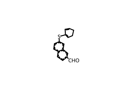 O=Cc1ccc2ccc(SC3=CCCC=C3)cc2c1